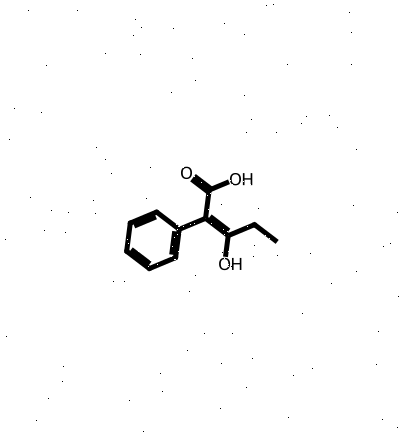 CCC(O)=C(C(=O)O)c1ccccc1